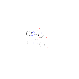 CCOC(=O)C1CCC(NC(=O)C(C2CCCCC2)n2c(-c3ccc(OC)nc3OC)nc3cc(F)c(F)cc32)CC1